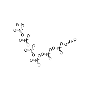 O=[N+]([O-])[O-].O=[N+]([O-])[O-].O=[N+]([O-])[O-].O=[N+]([O-])[O-].O=[N+]([O-])[O-].O=[N+]([O-])[O-].[O]=[U+2]=[O].[Pu+4]